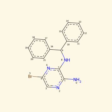 Nc1ncc(Br)nc1NC(c1ccccc1)c1ccccc1